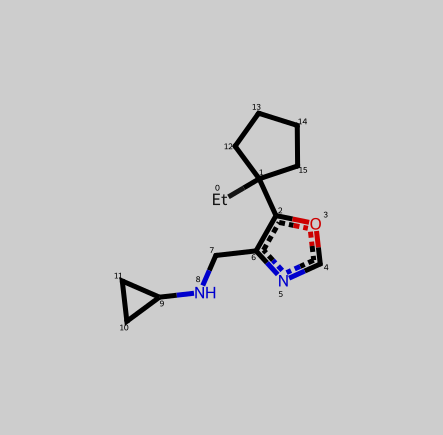 CCC1(c2ocnc2CNC2CC2)CCCC1